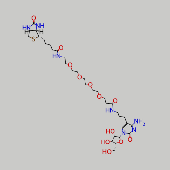 Nc1nc(=O)n([C@@H]2O[C@H](CO)C(O)[C@@H]2O)cc1CCCNC(=O)CCOCCOCCOCCOCCNC(=O)CCCC[C@@H]1SC[C@@H]2NC(=O)N[C@@H]21